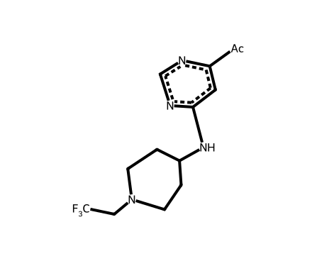 CC(=O)c1cc(NC2CCN(CC(F)(F)F)CC2)ncn1